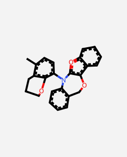 Cc1ccc(N2c3ccccc3COc3c2oc2ccccc32)c2c1CCCO2